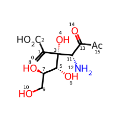 C=C(C(=O)O)[C@](O)([C@H](O)[C@H](O)CO)[C@@H](N)C(=O)C(C)=O